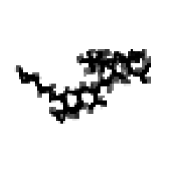 COCCCOc1cc(CC(CC[C@H](C[C@H](C(=O)O)C(C)C)O[Si](C)(C)C(C)(C)C)C(C)C)ccc1OC